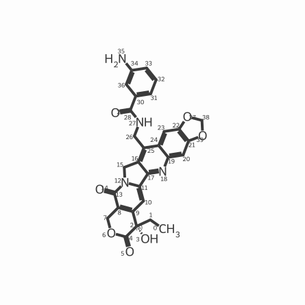 CC[C@@]1(O)C(=O)OCc2c1cc1n(c2=O)Cc2c-1nc1cc3c(cc1c2CNC(=O)c1cccc(N)c1)OCO3